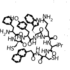 CC(C)C(NC(=O)C(CCCCN)NC(=O)[C@@H](Cc1c[nH]c2ccccc12)NC(=O)C(Cc1ccc(O)cc1)NC(=O)[C@@H](CS)NC(=O)C(N)Cc1ccccc1)C(=O)NC(CS)C(=O)NC(=O)Cc1ccc2ccccc2c1